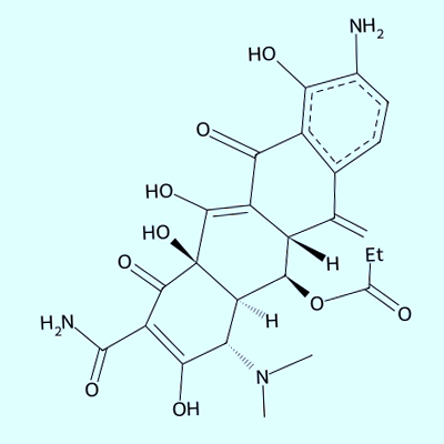 C=C1c2ccc(N)c(O)c2C(=O)C2=C(O)[C@@]3(O)C(=O)C(C(N)=O)=C(O)[C@@H](N(C)C)[C@@H]3[C@H](OC(=O)CC)[C@@H]12